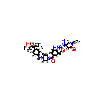 CCCN1CC(NC(=O)Nc2ccc(C(=O)N3CCN(Cc4ccc(C(O)(C(F)(F)F)C(F)(F)F)cc4)CC3)cc2F)CC1=O